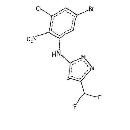 O=[N+]([O-])c1c(Cl)cc(Br)cc1Nc1nnc(C(F)F)s1